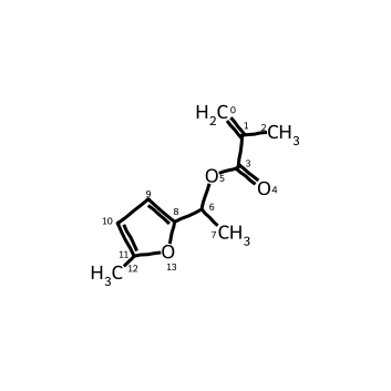 C=C(C)C(=O)OC(C)c1ccc(C)o1